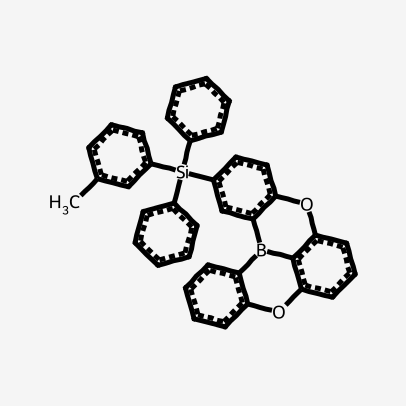 Cc1cccc([Si](c2ccccc2)(c2ccccc2)c2ccc3c(c2)B2c4ccccc4Oc4cccc(c42)O3)c1